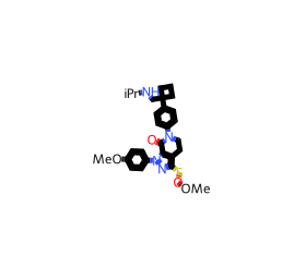 COOSc1nn(-c2ccc(OC)cc2)c2c1CCN(c1ccc(C3(CNC(C)C)CCC3)cc1)C2=O